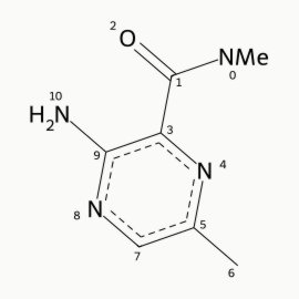 CNC(=O)c1nc(C)cnc1N